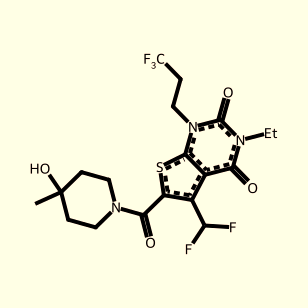 CCn1c(=O)c2c(C(F)F)c(C(=O)N3CCC(C)(O)CC3)sc2n(CCC(F)(F)F)c1=O